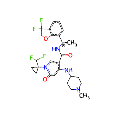 C[C@@H](NC(=O)c1cn(C2(C(F)F)CC2)c(=O)cc1NC1CCN(C)CC1)c1cccc2c1OCC2(F)F